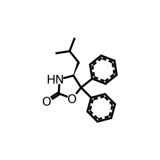 CC(C)C[C@@H]1NC(=O)OC1(c1ccccc1)c1ccccc1